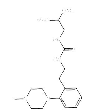 COC(CNC(=O)NCCc1ccccc1N1CCN(C)CC1)OC